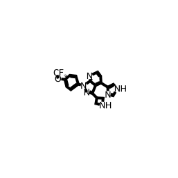 FC(F)(F)Oc1ccc(-n2nc(C3CNC3)c3c(-c4c[nH]cn4)ccnc32)cc1